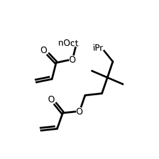 C=CC(=O)OCCC(C)(C)CC(C)C.C=CC(=O)OCCCCCCCC